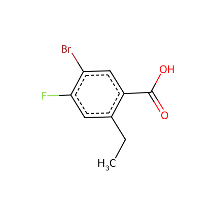 CCc1cc(F)c(Br)cc1C(=O)O